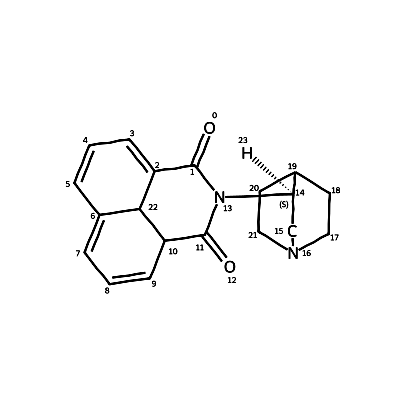 O=C1C2=CC=CC3=CC=CC(C(=O)N1[C@@H]1CN4CCC1CC4)C32